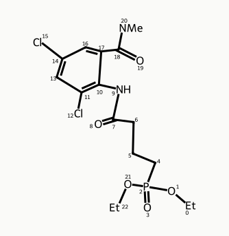 CCOP(=O)(CCCC(=O)Nc1c(Cl)cc(Cl)cc1C(=O)NC)OCC